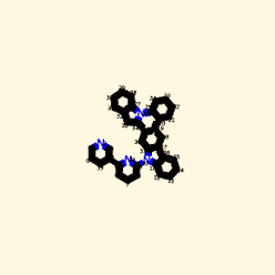 c1cncc(-c2cccc(-n3c4ccccc4c4cc5c6ccccc6n6c7ccccc7cc6c5cc43)n2)c1